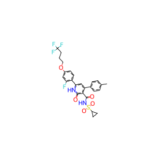 Cc1ccc(-c2cc(-c3ccc(OCCCC(F)(F)F)cc3F)[nH]c(=O)c2C(=O)NS(=O)(=O)C2CC2)cc1